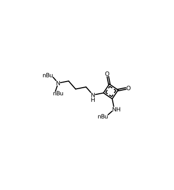 CCCCNc1c(NCCCN(CCCC)CCCC)c(=O)c1=O